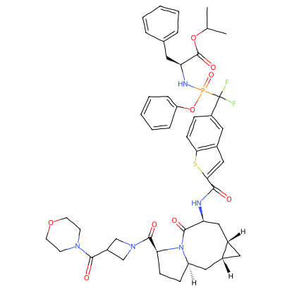 CC(C)OC(=O)[C@H](Cc1ccccc1)NP(=O)(Oc1ccccc1)C(F)(F)c1ccc2sc(C(=O)N[C@H]3C[C@@H]4C[C@@H]4C[C@H]4CC[C@@H](C(=O)N5CC(C(=O)N6CCOCC6)C5)N4C3=O)cc2c1